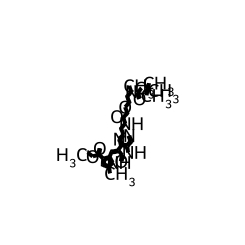 CCOC(=O)c1cc(C)[nH]c1/C=C1\C(=O)Nc2cnc(CNC(=O)COCCN(C)C(=O)OC(C)(C)C)nc21